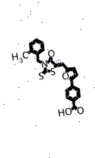 Cc1ccccc1CN1C(=O)/C(=C/c2ccc(-c3ccc(C(=O)O)cc3)o2)SC1=S